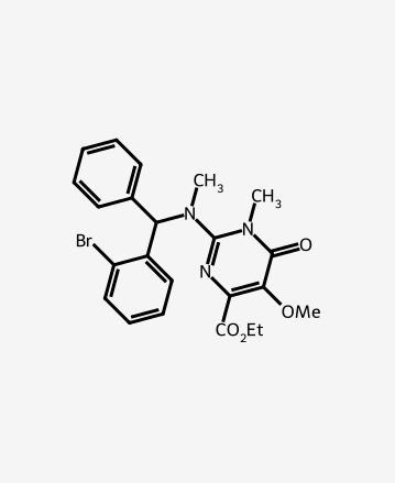 CCOC(=O)c1nc(N(C)C(c2ccccc2)c2ccccc2Br)n(C)c(=O)c1OC